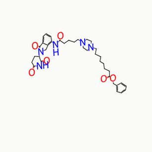 O=C1CCC(N2Cc3c(NC(=O)CCCCN4CCN(CCCCCCCC(=O)OCc5ccccc5)CC4)cccc3C2=O)C(=O)N1